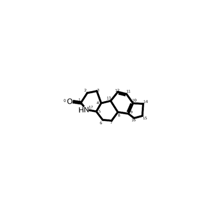 O=C1CCC2C(CCC3C4=C(C=CC32)CCC4)N1